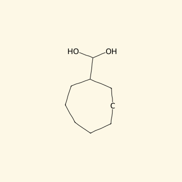 OC(O)C1CCCCCCC1